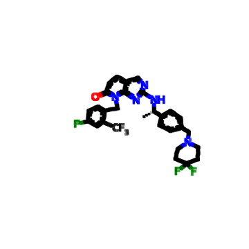 C[C@H](Nc1ncc2ccc(=O)n(Cc3ccc(F)cc3C(F)(F)F)c2n1)c1ccc(CN2CCC(F)(F)CC2)cc1